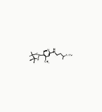 CNC(C)CCNc1cc(N)c(B2OC(C)(C)C(C)(C)O2)cn1